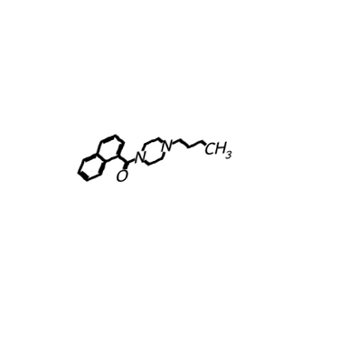 CCCCN1CCN(C(=O)c2cccc3ccccc23)CC1